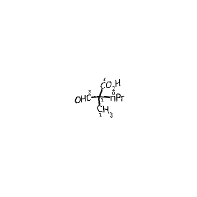 CCCC(C)(C=O)C(=O)O